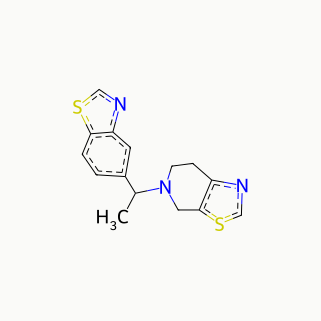 CC(c1ccc2scnc2c1)N1CCc2ncsc2C1